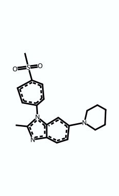 Cc1nc2ccc(N3CCCCC3)cc2n1-c1ccc(S(C)(=O)=O)cc1